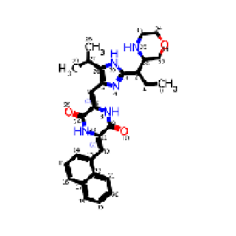 CCC(c1nc(/C=c2\[nH]c(=O)/c(=C/c3cccc4ccccc34)[nH]c2=O)c(C(C)C)[nH]1)C1COCCN1